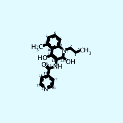 CCCN1c2cccc(C)c2C(O)=C(NC(=O)c2ccncc2)C1O